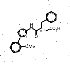 COc1ccccc1-c1csc(NC(=O)[C@@H](CC(=O)O)Cc2ccccc2)n1